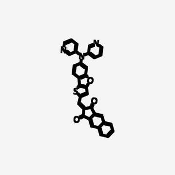 O=C1C(=Cc2cc3oc4cc(N(c5cccnc5)c5cccnc5)ccc4c3s2)C(=O)c2cc3ccccc3cc21